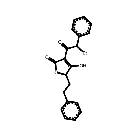 CCC(C(=O)C1=C(O)C(CCc2ccccc2)OC1=O)c1ccccc1